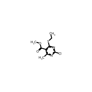 CCSc1nc(Cl)nc(C)c1C(=O)OC